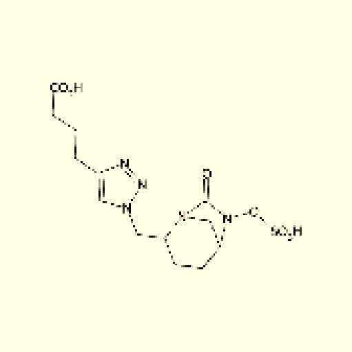 O=C(O)CCCc1cn(CC2CCC3CN2C(=O)N3OS(=O)(=O)O)nn1